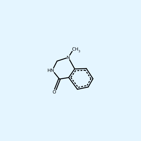 CN1CNC(=O)c2ccccc21